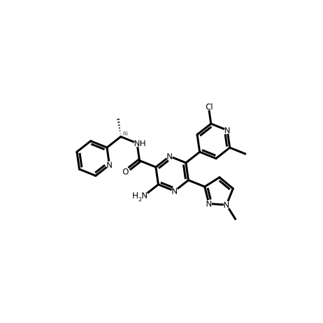 Cc1cc(-c2nc(C(=O)N[C@@H](C)c3ccccn3)c(N)nc2-c2ccn(C)n2)cc(Cl)n1